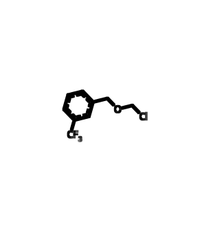 FC(F)(F)c1cccc(COCCl)c1